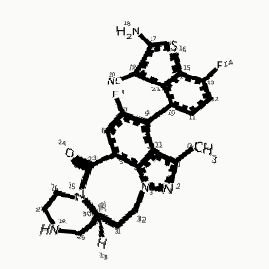 Cc1nn2c3c(cc(F)c(-c4ccc(F)c5sc(N)c(C#N)c45)c13)C(=O)N1CCNC[C@H]1CC2